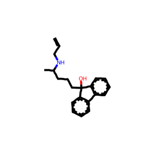 C=CCNC(C)CCCC1(O)c2ccccc2-c2ccccc21